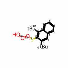 CC(C)(C)c1cc2ccccc2c(C(C)(C)C)c1SOOO